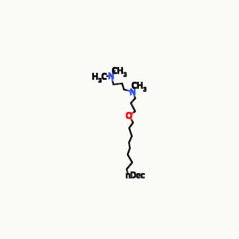 CCCCCCCCCCCCCCCCCCOCCCN(C)CCCN(C)C